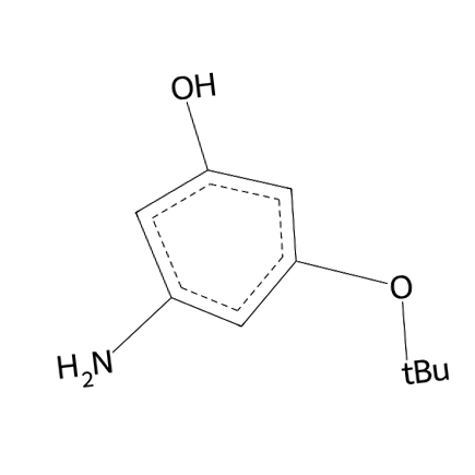 CC(C)(C)Oc1cc(N)cc(O)c1